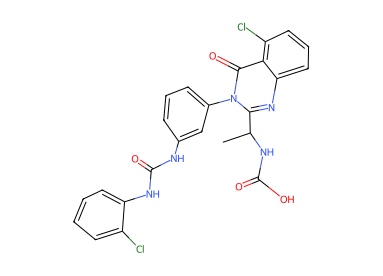 CC(NC(=O)O)c1nc2cccc(Cl)c2c(=O)n1-c1cccc(NC(=O)Nc2ccccc2Cl)c1